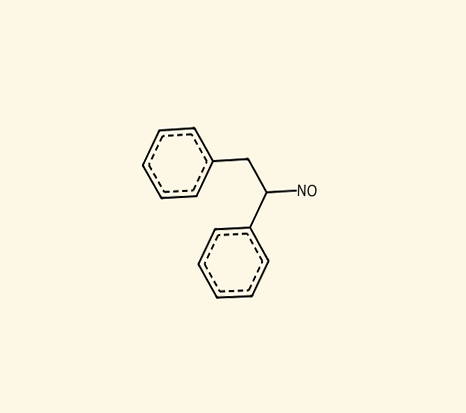 O=NC(Cc1ccccc1)c1ccccc1